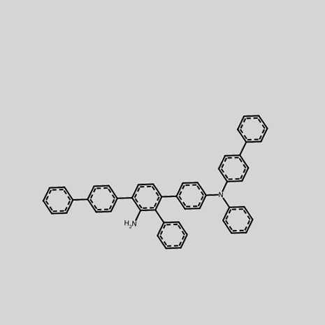 Nc1c(-c2ccc(-c3ccccc3)cc2)ccc(-c2ccc(N(c3ccccc3)c3ccc(-c4ccccc4)cc3)cc2)c1-c1ccccc1